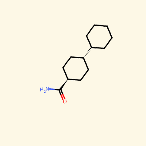 NC(=O)[C@H]1CC[C@H](C2CCCCC2)CC1